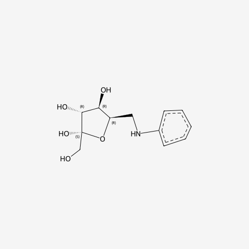 OC[C@]1(O)O[C@H](CNc2ccccc2)[C@H](O)[C@H]1O